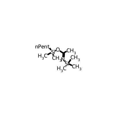 CCCCC[Si](C)(C)OC(C)=N[Si](C)(C)C